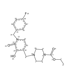 CCOC(=O)N1CCN(Cc2ccn(Cc3ccc(F)cc3)c(=O)c2O)CC1